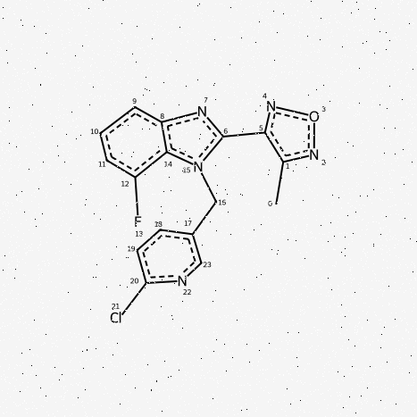 Cc1nonc1-c1nc2cccc(F)c2n1Cc1ccc(Cl)nc1